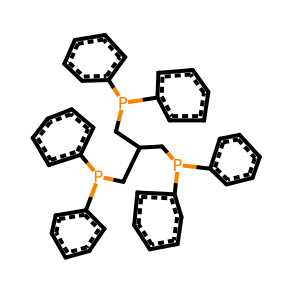 c1ccc(P(C[C](CP(c2ccccc2)c2ccccc2)CP(c2ccccc2)c2ccccc2)c2ccccc2)cc1